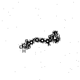 O=C1CCN(N2C(=O)c3ccc(CN4CCN(c5ccc(-c6cc(F)c7c(c6)C(=O)N(C(C(=O)Nc6nccs6)c6ncn8c6CCC8)C7)cc5)CC4)cc3C2=O)C(=O)N1